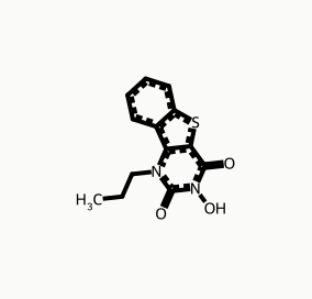 CCCn1c(=O)n(O)c(=O)c2sc3ccccc3c21